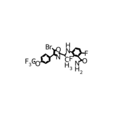 CC(Nc1ccc(F)c(C(N)=O)c1F)c1nc(-c2ccc(OC(F)(F)F)cc2)c(Br)o1